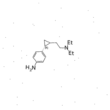 CCN(CC)CCC1C[C@H]1c1ccc(N)cc1